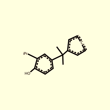 CC(C)c1cc(C(C)(C)c2ccccc2)ccc1O